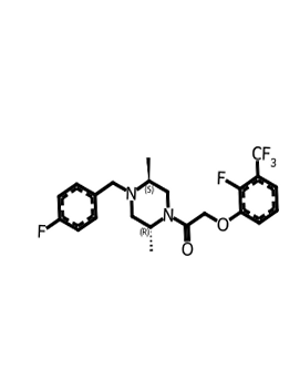 C[C@@H]1CN(Cc2ccc(F)cc2)[C@@H](C)CN1C(=O)COc1cccc(C(F)(F)F)c1F